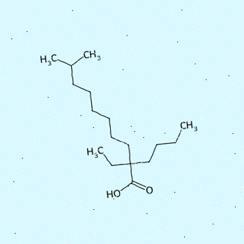 CCCCC(CC)(CCCCCCC(C)C)C(=O)O